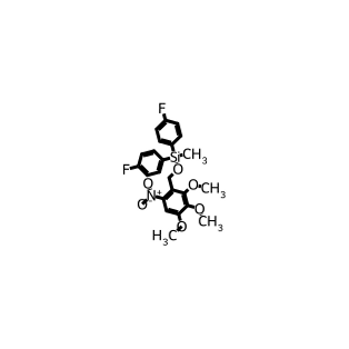 COc1cc([N+](=O)[O-])c(CO[Si](C)(c2ccc(F)cc2)c2ccc(F)cc2)c(OC)c1OC